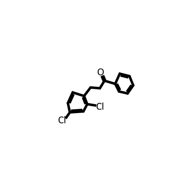 O=C(CCc1ccc(Cl)cc1Cl)c1ccccc1